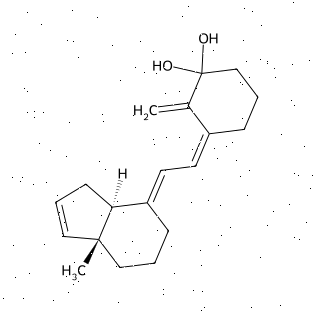 C=C1/C(=C\C=C2/CCC[C@]3(C)C=CC[C@@H]23)CCCC1(O)O